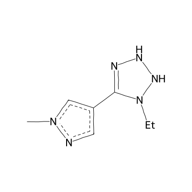 CCN1NNN=C1c1cnn(C)c1